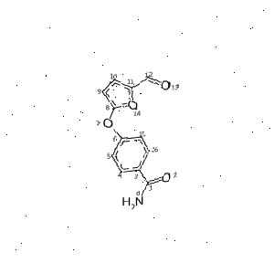 NC(=O)c1ccc(Oc2ccc(C=O)o2)cc1